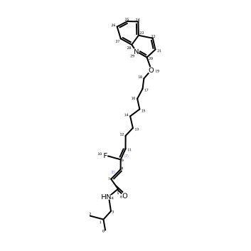 CC(C)CNC(=O)/C=C/C(F)=C/CCCCCCCOc1ccc2ccccc2n1